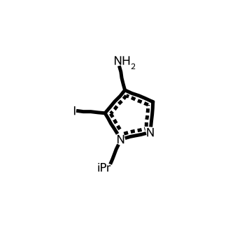 CC(C)n1ncc(N)c1I